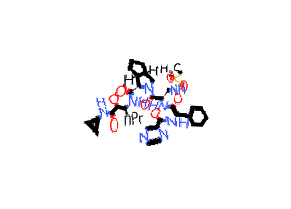 C=CS(=O)(=O)NC[C@H](NC(=O)[C@@H](NC(=O)c1cnccn1)C1CCCCC1)C(=O)N1C[C@@H]2CCC[C@@H]2[C@H]1C(=O)N[C@@H](CCC)C(=O)C(=O)NC1CC1